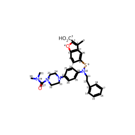 Cc1c(C(=O)O)oc2ccc(SN(CCc3ccccc3)c3ccc(N4CCN(C(=O)N(C)C)CC4)cc3)cc12